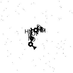 CC(NC(=O)Oc1coc(-c2cccc(C3CC3)c2)n1)c1cc(F)c(NS(C)(=O)=O)c(F)c1